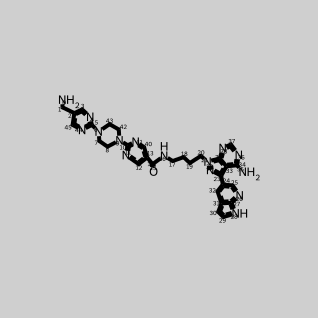 NCc1cnc(N2CCN(c3ncc(C(=O)NCCCCn4nc(-c5cnc6[nH]ccc6c5)c5c(N)ncnc54)cn3)CC2)nc1